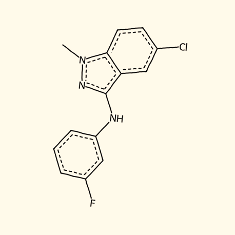 Cn1nc(Nc2cccc(F)c2)c2cc(Cl)ccc21